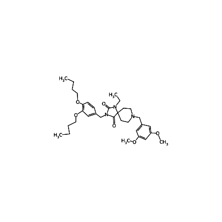 CCCCOc1ccc(CN2C(=O)N(CC)C3(CCN(Cc4cc(OC)cc(OC)c4)CC3)C2=O)cc1OCCCC